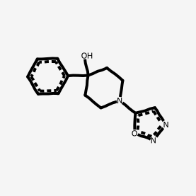 OC1(c2ccccc2)CCN(c2cnno2)CC1